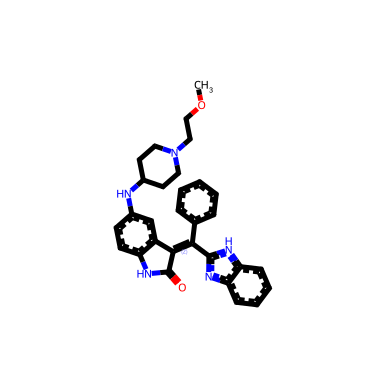 COCCN1CCC(Nc2ccc3c(c2)/C(=C(\c2ccccc2)c2nc4ccccc4[nH]2)C(=O)N3)CC1